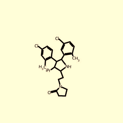 Cc1ccc(Cl)cc1C1NC(CCN2CCCC2=O)C(C(C)C)C1c1ccc(Cl)cc1C